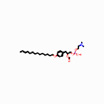 CCCCCCCCCCCCCCOc1ccc(CC(COP(O)OCCN(C)C)OC=O)cc1